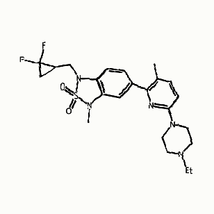 CCN1CCN(c2ccc(C)c(-c3ccc4c(c3)N(C)S(=O)(=O)N4CC3CC3(F)F)n2)CC1